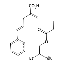 C=C(CC=Cc1ccccc1)C(=O)O.C=CC(=O)OCC(CC)CCCC